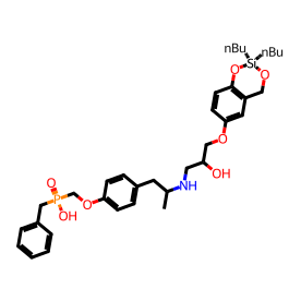 CCCC[Si]1(CCCC)OCc2cc(OCC(O)CNC(C)Cc3ccc(OCP(=O)(O)Cc4ccccc4)cc3)ccc2O1